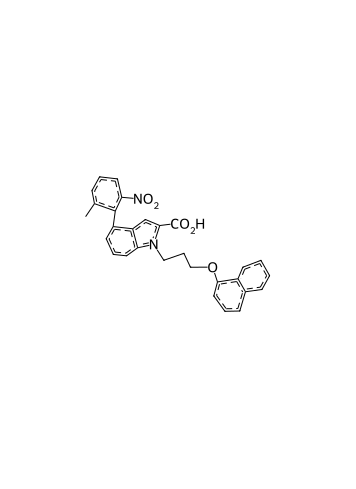 Cc1cccc([N+](=O)[O-])c1-c1cccc2c1cc(C(=O)O)n2CCCOc1cccc2ccccc12